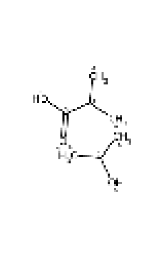 CC(C)C(=O)O.CC(C)O